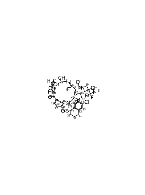 C[C@@H]1[C@@H](C)C/C=C(\F)[C@H](C(=O)N2CC(C)(C(F)(F)F)C2)N2CCC[C@H]2CN2C[C@@]3(CCCc4cc(Cl)ccc43)COc3ccc(cc32)C(=O)NS1(=O)=O